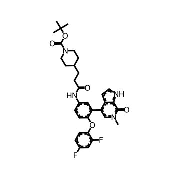 Cn1cc(-c2cc(NC(=O)CCC3CCN(C(=O)OC(C)(C)C)CC3)ccc2Oc2ccc(F)cc2F)c2cc[nH]c2c1=O